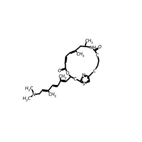 CC(/C=C/C(C)=C/C1Cc2nc(cs2)CCCCC(=O)NC(C)C/C(C)=C/C=C\C(=O)O1)=C\CN(C)C